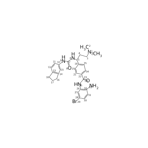 CN(C)CCC(NC(=O)Nc1ccc2c(c1)CCC2)c1ccc(C(=O)Nc2cc(Br)ccc2N)cc1